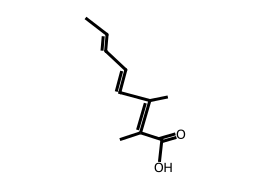 C/C=C/C=C/C(C)=C(\C)C(=O)O